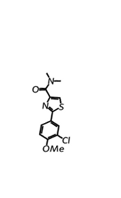 COc1ccc(-c2nc(C(=O)N(C)C)cs2)cc1Cl